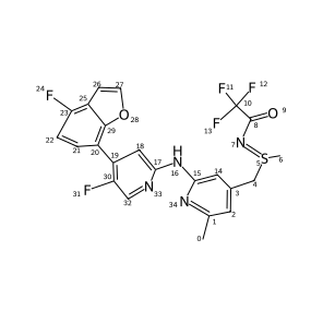 Cc1cc(CS(C)=NC(=O)C(F)(F)F)cc(Nc2cc(-c3ccc(F)c4ccoc34)c(F)cn2)n1